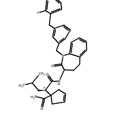 CC(C)C[C@@H](C(=O)NC1CCc2ccccc2N(Cc2cccc(Cc3ccccc3F)c2)C1=O)C1(C(N)=O)CC=CC1